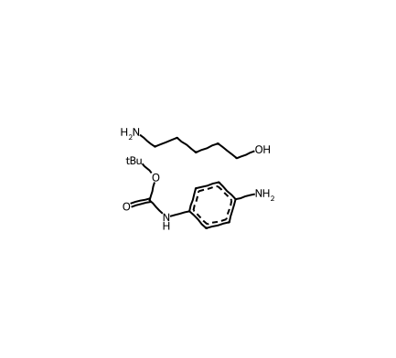 CC(C)(C)OC(=O)Nc1ccc(N)cc1.NCCCCCO